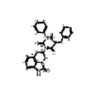 NC(Cc1ccccc1)C(=O)N(C(=S)Nc1ccccc1)C1Cc2cccc3[nH]c(=O)n(c23)C1